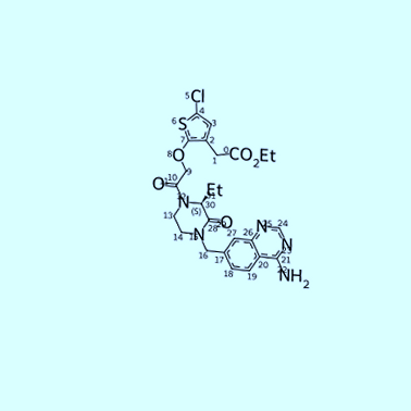 CCOC(=O)Cc1cc(Cl)sc1OCC(=O)N1CCN(Cc2ccc3c(N)ncnc3c2)C(=O)[C@@H]1CC